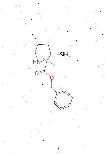 C[C@]1(C(=O)OCc2ccccc2)NCCCC1[SiH3]